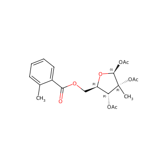 CC(=O)O[C@@H]1O[C@H](COC(=O)c2ccccc2C)[C@@H](OC(C)=O)[C@@]1(C)OC(C)=O